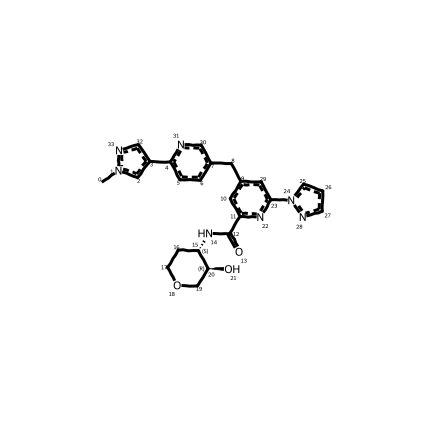 Cn1cc(-c2ccc(Cc3cc(C(=O)N[C@H]4CCOC[C@@H]4O)nc(-n4cccn4)c3)cn2)cn1